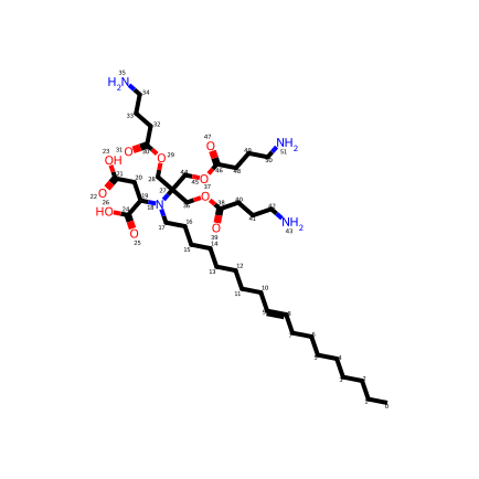 CCCCCCCCC=CCCCCCCCCN(C(CC(=O)O)C(=O)O)C(COC(=O)CCCN)(COC(=O)CCCN)COC(=O)CCCN